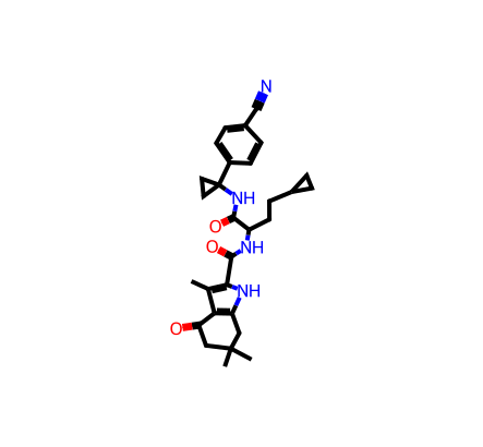 Cc1c(C(=O)NC(CCC2CC2)C(=O)NC2(c3ccc(C#N)cc3)CC2)[nH]c2c1C(=O)CC(C)(C)C2